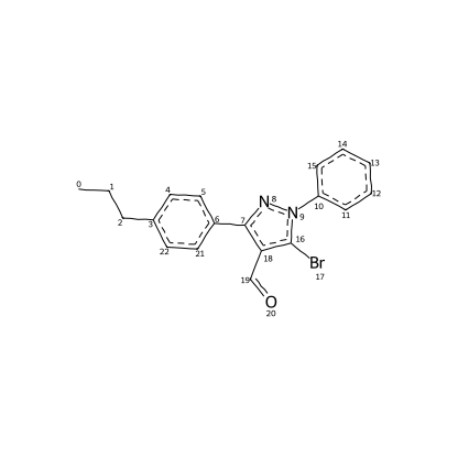 CCCc1ccc(-c2nn(-c3ccccc3)c(Br)c2C=O)cc1